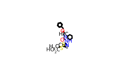 CC(C)(Sc1cnc(NC(=O)N(CCOCc2ccccc2)C2(C)CCCCC2)s1)C(=O)O